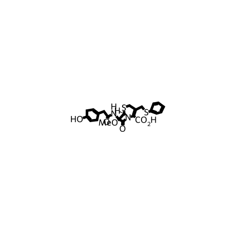 COC1(NC(=O)CC2=CCC(O)=CC2)C(=O)N2C(C(=O)O)=C(CSc3ccccc3)CS[C@@H]21